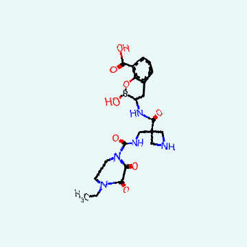 CCN1CCN(C(=O)NCC2(C(=O)NC3Cc4cccc(C(=O)O)c4OB3O)CNC2)C(=O)C1=O